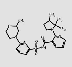 CC1CN(c2cccc(S(=O)(=O)NC(=O)c3cccnc3N3CCC(C)C3(C)C)n2)CCO1